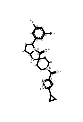 O=C(c1cc(C2CC2)on1)N1CCC2(CC1)OC1CCC(c3cc(F)cc(F)c3)N1C2=O